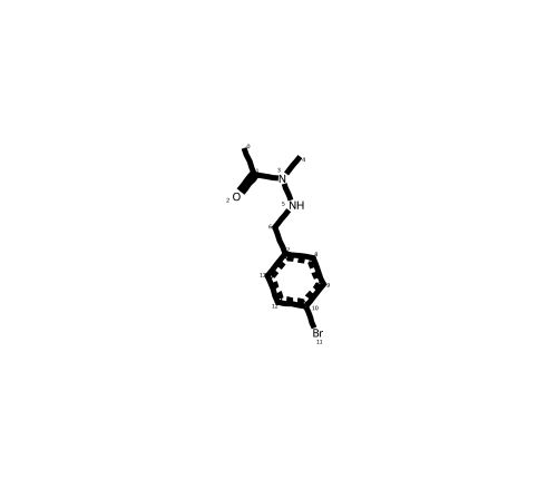 CC(=O)N(C)NCc1ccc(Br)cc1